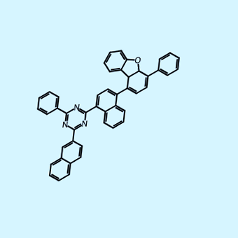 C1=C(c2ccccc2)C2Oc3ccccc3C2C(c2ccc(-c3nc(-c4ccccc4)nc(-c4ccc5ccccc5c4)n3)c3ccccc23)=C1